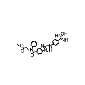 CCOC(=O)CCN(C(=O)c1ccc2c(c1)nc(CNc1ccc(C(=N)NO)cc1)n2C)c1ccccc1